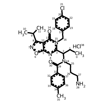 CCC(c1nc2onc(C(C)C)c2c(=O)n1Cc1ccc(Cl)cc1)N(CCCN)C(=O)c1ccc(C)cc1.Cl